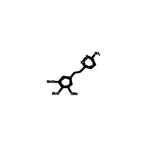 COc1cc(CCc2ccc(N)nn2)cc(OC)c1OC